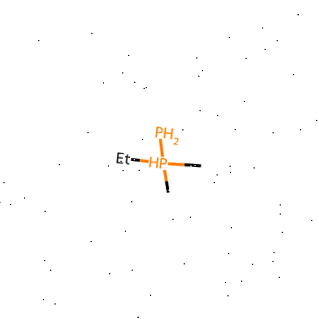 CC[PH](C)(C)P